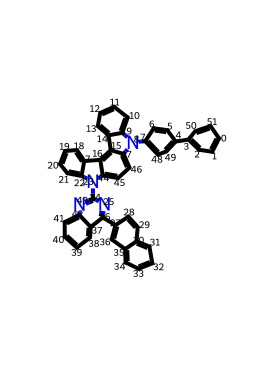 c1ccc(-c2ccc(-n3c4ccccc4c4c5c6ccccc6n(-c6nc(-c7ccc8ccccc8c7)c7ccccc7n6)c5ccc43)cc2)cc1